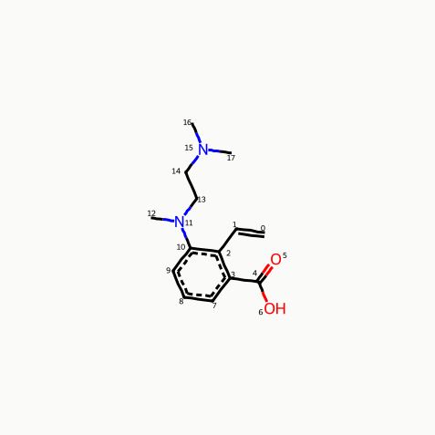 C=Cc1c(C(=O)O)cccc1N(C)CCN(C)C